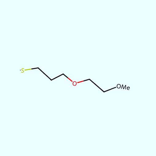 COCCOCCC[S]